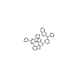 c1ccc(C2=NC(c3ccccc3)NC(c3cccc4oc5cc(-c6cccc(N(c7ccccc7)c7ccc8ccccc8c7)c6)c6ccccc6c5c34)=N2)cc1